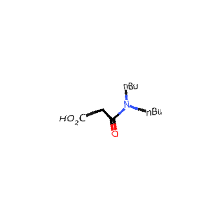 CCCCN(CCCC)C(=O)CC(=O)O